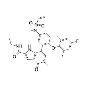 C=CS(=O)(=O)Nc1ccc(Oc2c(C)cc(F)cc2C)c(-c2cn(C)c(=O)c3cc(C(=O)NCC)[nH]c23)c1